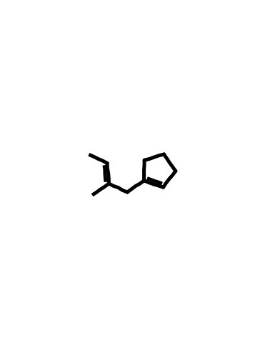 CC=C(C)CC1=CCCC1